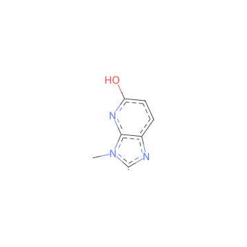 Cn1[c]nc2ccc(O)nc21